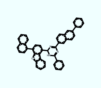 c1ccc(C2=NC(c3ccc4cc(-c5ccccc5)ccc4c3)=NC(c3ccc(-c4cccc5ccccc45)c4oc5ccccc5c34)N2)cc1